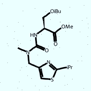 COC(=O)[C@H](COCC(C)C)NC(=O)N(C)Cc1csc(C(C)C)n1